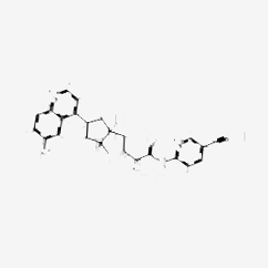 C#Cc1ccc(NC(=O)[C@H](C)[C@@H]2C[C@H]3CC(c4ccnc5ccc(F)cc45)C[C@H]3C2)nc1